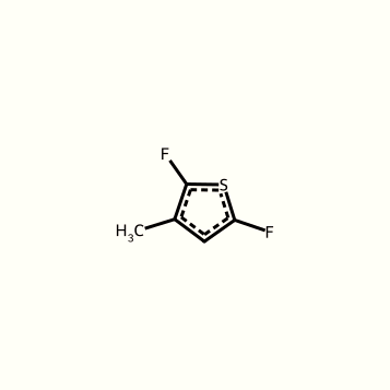 Cc1cc(F)sc1F